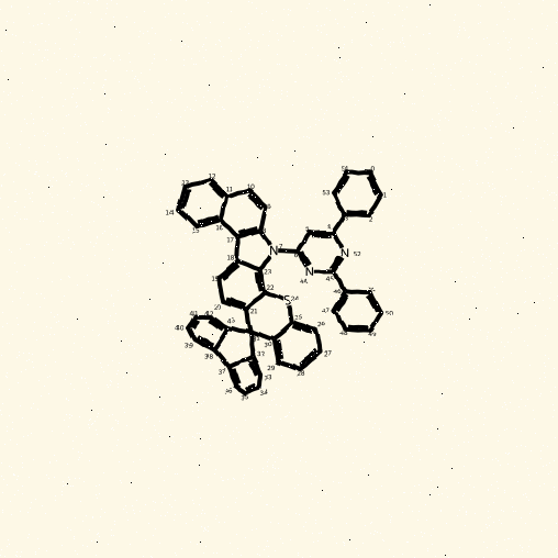 c1ccc(-c2cc(-n3c4ccc5ccccc5c4c4ccc5c(c43)Sc3ccccc3C53c4ccccc4-c4ccccc43)nc(-c3ccccc3)n2)cc1